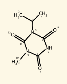 CC(C)n1c(=O)[nH]c(=O)n(C)c1=O